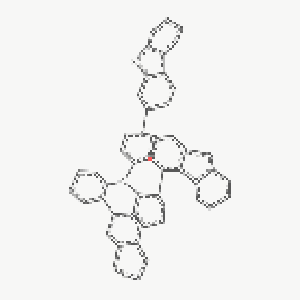 c1ccc(N(c2ccc(-c3ccc4c(c3)sc3ccccc34)cc2)c2ccccc2-c2cccc3sc4ccccc4c23)c(-c2ccc3ccccc3c2)c1